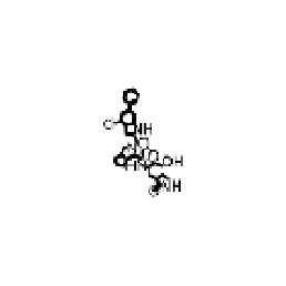 O=C1NCCC1CC(NC(=O)C1C2CCCC2CN1C(=O)c1cc2c(Cl)cc(-c3ccccc3)cc2[nH]1)C(=O)CO